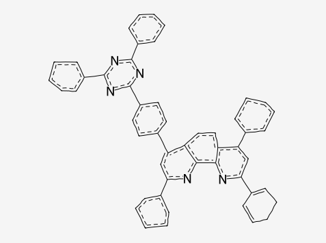 C1=CC(c2cc(-c3ccccc3)c3ccc4c(-c5ccc(-c6nc(-c7ccccc7)nc(-c7ccccc7)n6)cc5)cc(-c5ccccc5)nc4c3n2)=CCC1